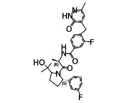 Cc1cc(Cc2ccc(C(=O)N[C@H](C)C(=O)N3C(C(C)(C)O)CC[C@H]3c3cccc(F)c3)cc2F)c(=O)[nH]n1